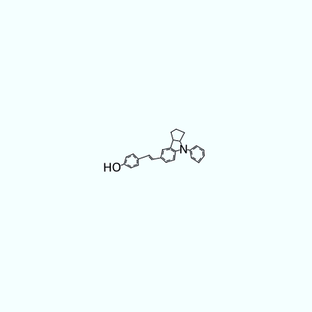 Oc1ccc(C=Cc2ccc3c(c2)C2CCCC2N3c2ccccc2)cc1